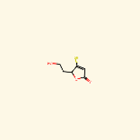 O=C1C=C(S)C(CCO)O1